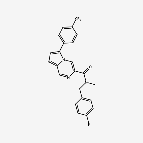 CN(Cc1ccc(F)cc1)C(=O)c1cn2c(-c3ccc(C(F)(F)F)cc3)cnc2cn1